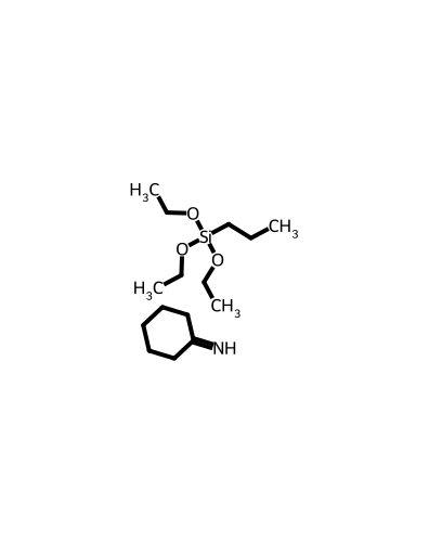 CCC[Si](OCC)(OCC)OCC.N=C1CCCCC1